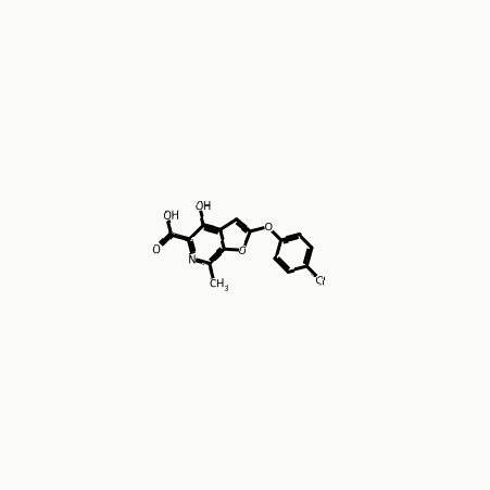 Cc1nc(C(=O)O)c(O)c2cc(Oc3ccc(Cl)cc3)oc12